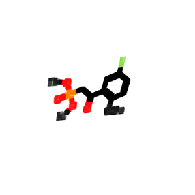 CCOP(=O)(CC(=O)c1cc(F)ccc1OC)OCC